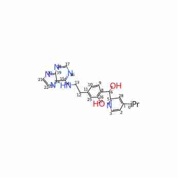 CC(C)c1ccnc(C(O)c2ccc(CCNc3ncnc4nccnc34)cc2O)c1